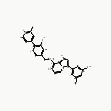 Cc1cc(-c2ncc(CNc3nccn4c(-c5cc(F)cc(F)c5)cnc34)cc2F)ccn1